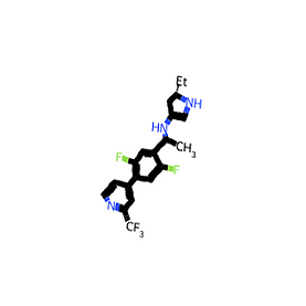 CC[C@H]1CC(NC(C)c2cc(F)c(-c3ccnc(C(F)(F)F)c3)cc2F)=CN1